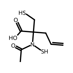 C=CCC(CS)(C(=O)O)N(S)C(C)=O